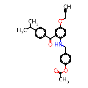 C#CCOc1ccc(NCc2ccc(OC(C)=O)cc2)c(C(=O)c2ccc(C(C)C)cc2)c1